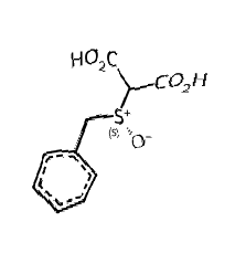 O=C(O)C(C(=O)O)[S@+]([O-])Cc1ccccc1